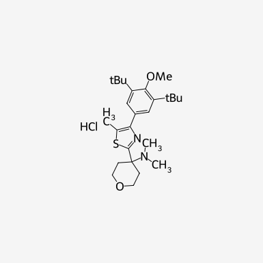 COc1c(C(C)(C)C)cc(-c2nc(C3(N(C)C)CCOCC3)sc2C)cc1C(C)(C)C.Cl